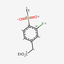 CCOC(=O)Cc1ccc(S(=O)(=O)CC)c(F)c1